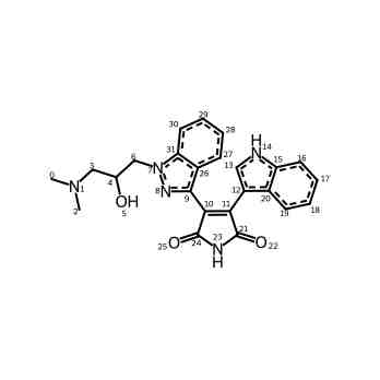 CN(C)CC(O)Cn1nc(C2=C(c3c[nH]c4ccccc34)C(=O)NC2=O)c2ccccc21